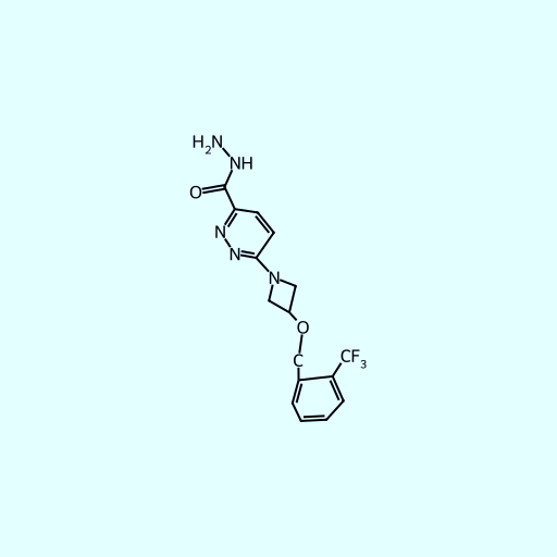 NNC(=O)c1ccc(N2CC(OCc3ccccc3C(F)(F)F)C2)nn1